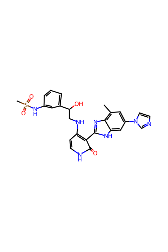 Cc1cc(-n2ccnc2)cc2[nH]c(-c3c(NCC(O)c4cccc(NS(C)(=O)=O)c4)cc[nH]c3=O)nc12